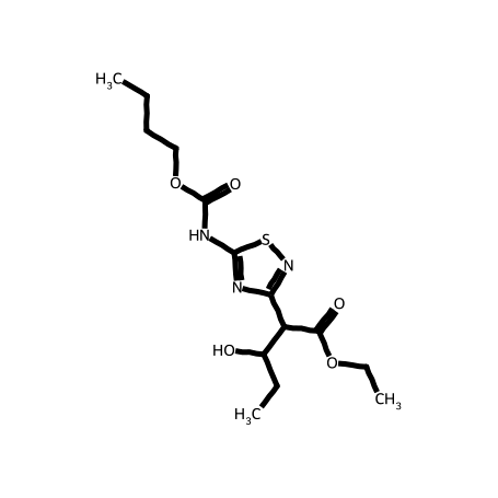 CCCCOC(=O)Nc1nc(C(C(=O)OCC)C(O)CC)ns1